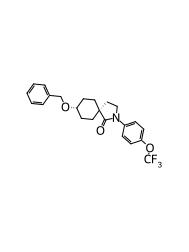 O=C1N(c2ccc(OC(F)(F)F)cc2)CC[C@]12CC[C@@H](OCc1ccccc1)CC2